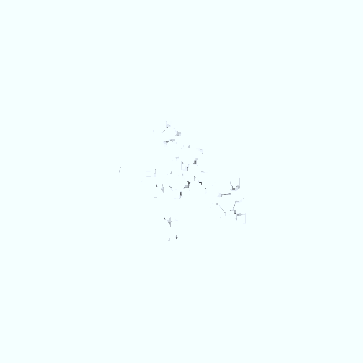 CCOC(=O)CN(CCCN1CCOCC1)C(=O)CC1C(=O)N(CCc2ccc(Cl)cc2Cl)CC(=O)N1CCc1cccs1